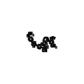 CCCc1ccc(C)cc1N1CCCS/C1=N\C(=O)NC(C#N)c1ccc(-c2ncn(-c3ccc(OC(F)(F)F)cc3)n2)cc1